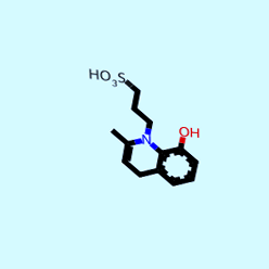 CC1=CCc2cccc(O)c2N1CCCS(=O)(=O)O